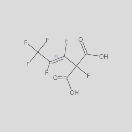 O=C(O)C(F)(C(=O)O)/C(F)=C(\F)C(F)(F)F